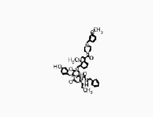 C=CCN1CC(=O)N2[C@@H](Cc3ccc(O)cc3)C(=O)N(Cc3cccc4c(C(=O)N5CCN(Cc6cccc(OC)c6)CC5)cn(C)c34)C[C@@H]2N1C(=O)NCc1ccccc1